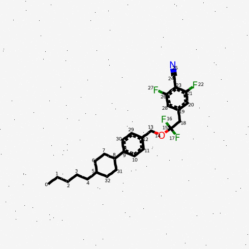 CCCCCC1CCC(c2ccc(COC(F)(F)Cc3cc(F)c(C#N)c(F)c3)cc2)CC1